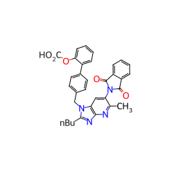 CCCCc1nc2nc(C)c(N3C(=O)c4ccccc4C3=O)cc2n1Cc1ccc(-c2ccccc2OC(=O)O)cc1